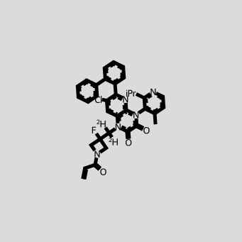 [2H]C([2H])(n1c(=O)c(=O)n(-c2c(C)ccnc2C(C)C)c2nc(-c3ccccc3-c3ccccc3)c(Cl)cc21)C1(F)CN(C(=O)C=C)C1